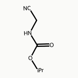 CC(C)OC(=O)NCC#N